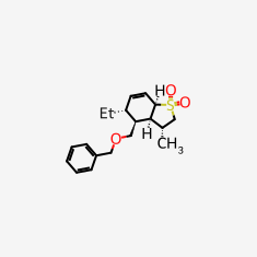 CC[C@@H]1C=C[C@@H]2[C@H]([C@H]1COCc1ccccc1)[C@@H](C)CS2(=O)=O